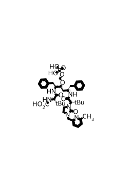 Cc1cccc(CN2CCN([C@H](C(=O)N[C@@H](Cc3ccccc3)C[C@H](OCOP(=O)(O)O)[C@H](Cc3ccccc3)NC(=O)[C@@H](NC(=O)O)C(C)(C)C)C(C)(C)C)C2=O)n1